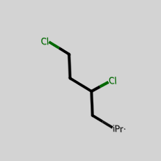 C[C](C)CC(Cl)CCCl